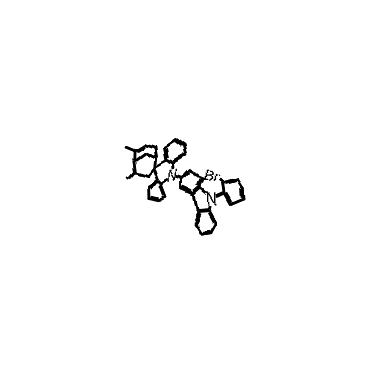 CC1=CCC2CC1C(C)CC21c2ccccc2N(c2ccc3c(c2)c2ccccc2n3-c2ccccc2Br)c2ccccc21